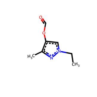 CCn1cc(OC=O)c(C)n1